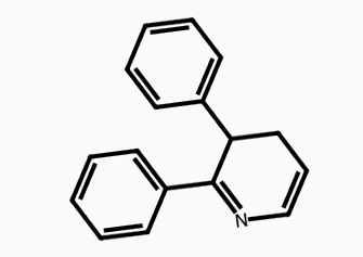 C1=CN=C(c2ccccc2)C(c2ccccc2)C1